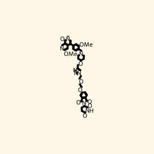 COc1cc(-c2cn(C)c(=O)c3cnccc23)cc(OC)c1CN1CCC(OCc2cn(CCOCCOc3ccc4c(c3)C(=O)N(C3CCC(=O)NC3=O)C4=O)nn2)CC1